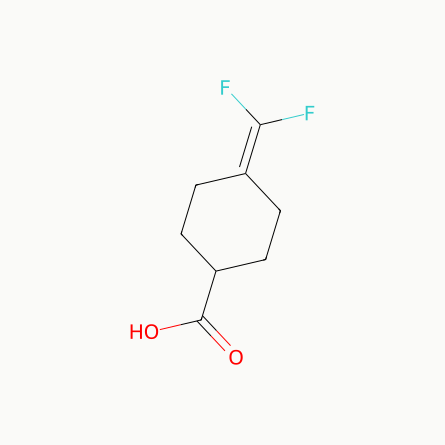 O=C(O)C1CCC(=C(F)F)CC1